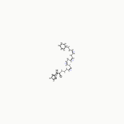 O=C(CCC/C=C\C/C=C\C/C=C\C/C=C\CCc1ccccc1)Nc1nccs1